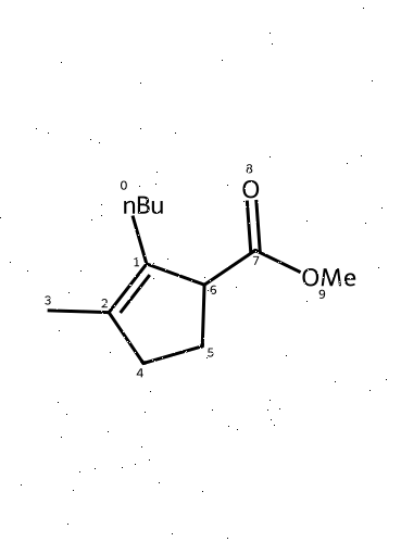 CCCCC1=C(C)CCC1C(=O)OC